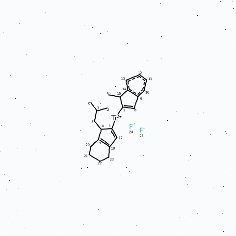 CC(C)CC1[C]([Ti+2][C]2=Cc3ccccc3C2C)=CC2=C1CCCC2.[F-].[F-]